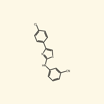 N#Cc1cccc(Nc2nc(-c3ccc(Cl)cc3)cs2)c1